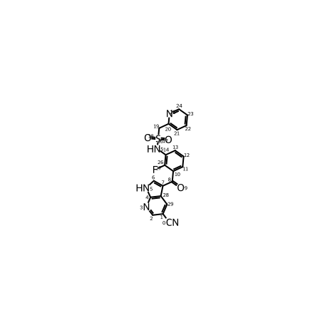 N#Cc1cnc2[nH]cc(C(=O)c3cccc(NS(=O)(=O)Cc4ccccn4)c3F)c2c1